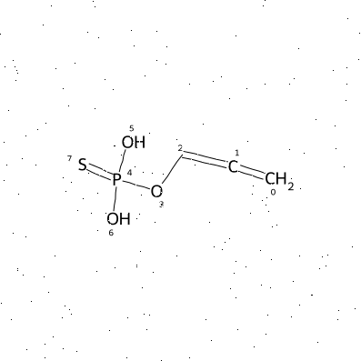 C=C=COP(O)(O)=S